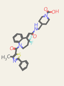 Cc1nc(-c2ccccc2)sc1C(=O)N1CCC(F)(F)/C(=C\C(=O)NCC2CCN(C(=O)O)CC2)c2ccccc21